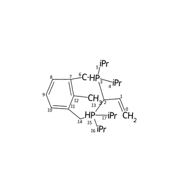 C=CC1[PH](C(C)C)(C(C)C)Cc2cccc(c2C)C[PH]1(C(C)C)C(C)C